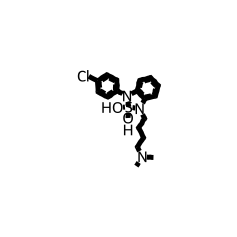 CN(C)CCCCN1c2ccccc2N(c2ccc(Cl)cc2)S1(O)O